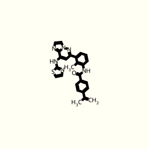 C=C(C)c1ccc(C(=O)Nc2cccc(-c3cc(Nc4nccs4)c4nccn4n3)c2C)cc1